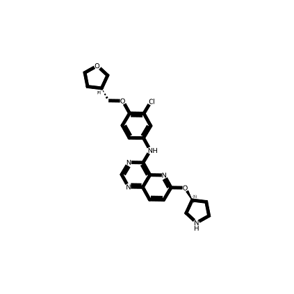 Clc1cc(Nc2ncnc3ccc(O[C@H]4CCNC4)nc23)ccc1OC[C@@H]1CCOC1